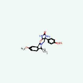 C=C1c2ccc(OC)cc2CN1CC1(c2ccc(O)cc2)NC(=O)NC1=O